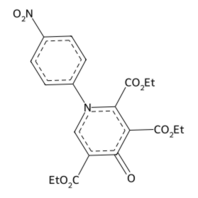 CCOC(=O)c1cn(-c2ccc([N+](=O)[O-])cc2)c(C(=O)OCC)c(C(=O)OCC)c1=O